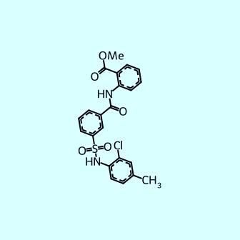 COC(=O)c1ccccc1NC(=O)c1cccc(S(=O)(=O)Nc2ccc(C)cc2Cl)c1